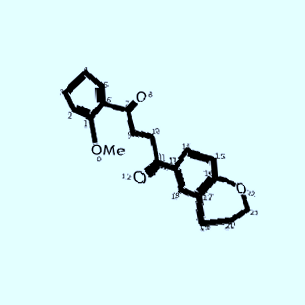 COc1ccccc1C(=O)CCC(=O)c1ccc2c(c1)CCCO2